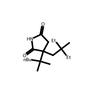 CCCCC(C)(C)C1(CC(C)(CC)CC)CC(=O)NC1=O